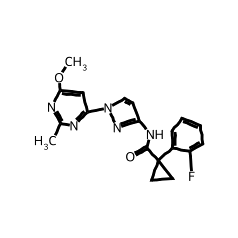 COc1cc(-n2ccc(NC(=O)C3(c4ccccc4F)CC3)n2)nc(C)n1